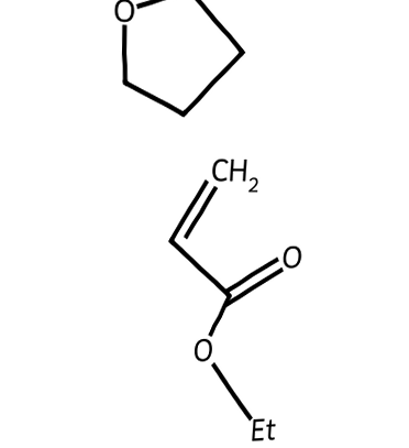 C1CCOC1.C=CC(=O)OCC